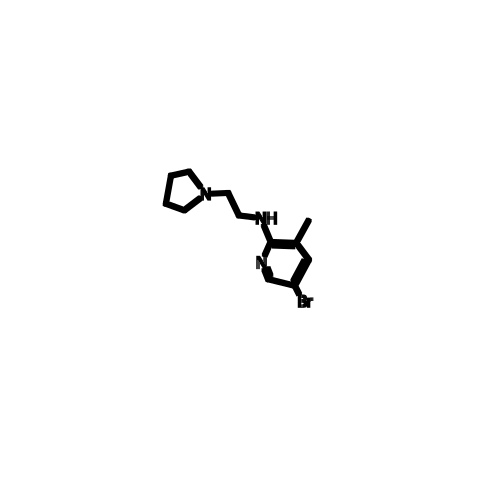 Cc1cc(Br)cnc1NCCN1CCCC1